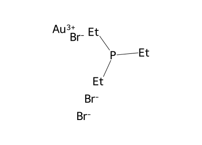 CCP(CC)CC.[Au+3].[Br-].[Br-].[Br-]